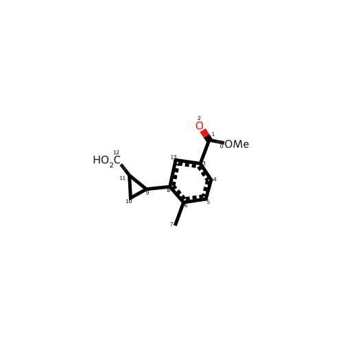 COC(=O)c1ccc(C)c(C2CC2C(=O)O)c1